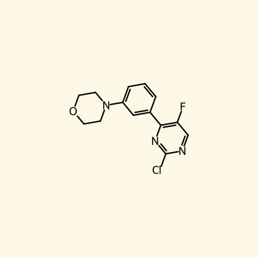 Fc1cnc(Cl)nc1-c1cccc(N2CCOCC2)c1